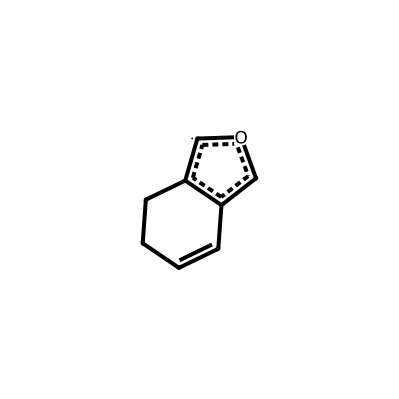 [c]1occ2c1CCC=C2